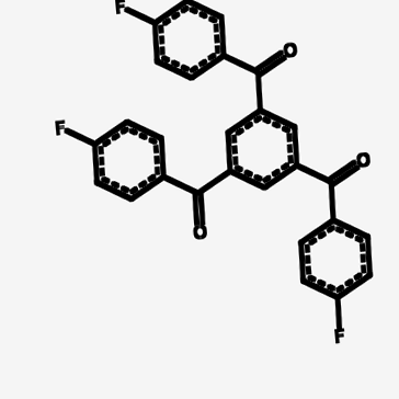 O=C(c1ccc(F)cc1)c1cc(C(=O)c2ccc(F)cc2)cc(C(=O)c2ccc(F)cc2)c1